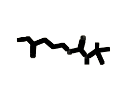 CCC(=O)CCCOC(=O)NC(C)(C)C